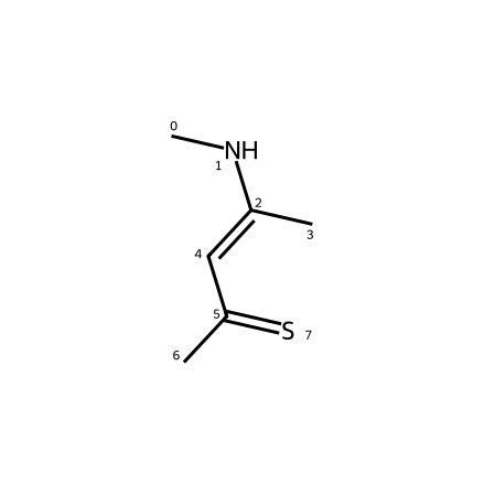 CNC(C)=CC(C)=S